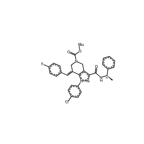 C[C@@H](NC(=O)c1nn(-c2ccc(Cl)cc2)c2c1CN(C(=O)OC(C)(C)C)CC2=Cc1ccc(F)cc1)c1ccccc1